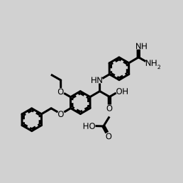 CC(=O)O.CCOc1cc(C(Nc2ccc(C(=N)N)cc2)C(=O)O)ccc1OCc1ccccc1